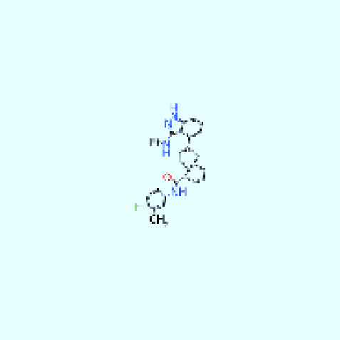 CCNc1n[nH]c2cccc(-c3ccc4c(C(=O)Nc5ccc(F)c(C)c5)cccc4c3)c12